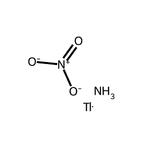 N.O=[N+]([O-])[O-].[Tl]